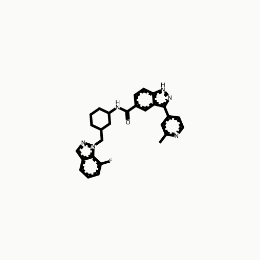 Cc1cc(-c2n[nH]c3ccc(C(=O)NC4CCCC(Cn5ncc6cccc(F)c65)C4)cc23)ccn1